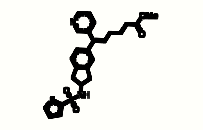 COC(=O)CCCC=C(c1cccnc1)c1ccc2c(c1)CC(NS(=O)(=O)c1cccs1)C2